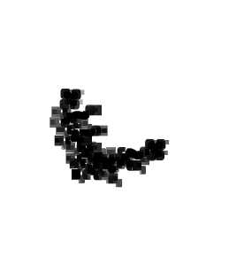 C[N+](C)(C)C.C[N+](C)(C)C.C[N+](C)(C)C.C[N+](C)(C)CCO.C[N+](C)(C)CCO.C[N+](C)(C)CCO.O=P([O-])([O-])[O-].O=P([O-])([O-])[O-]